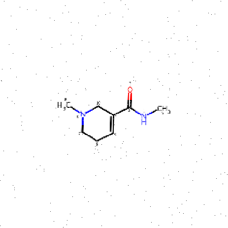 CNC(=O)C1=CCCN(C)C1